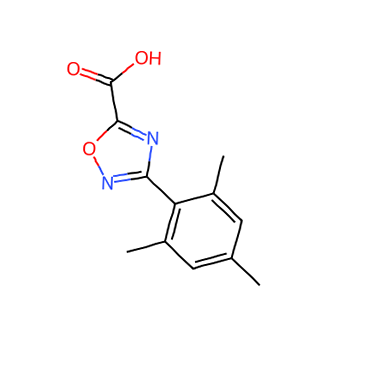 Cc1cc(C)c(-c2noc(C(=O)O)n2)c(C)c1